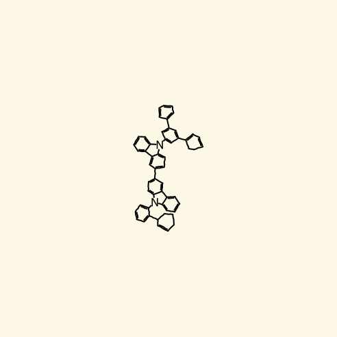 C1=CCCC(c2cc(-c3ccccc3)cc(-n3c4ccccc4c4cc(-c5ccc6c(c5)c5ccccc5n6-c5ccccc5C5C=CCCC5)ccc43)c2)=C1